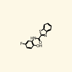 O=C(Nc1cc(F)ccc1O)c1nc2ccccc2s1